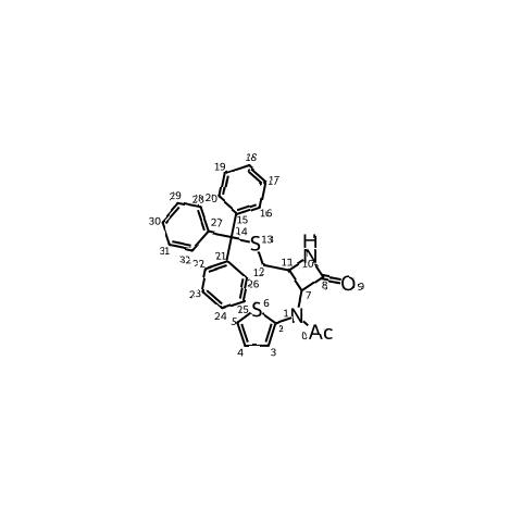 CC(=O)N(c1cccs1)C1C(=O)NC1CSC(c1ccccc1)(c1ccccc1)c1ccccc1